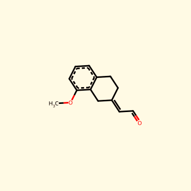 COc1cccc2c1C/C(=C/C=O)CC2